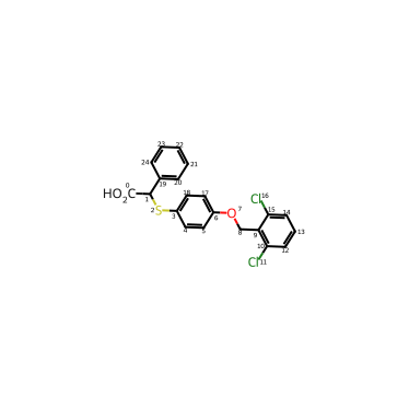 O=C(O)C(Sc1ccc(OCc2c(Cl)cccc2Cl)cc1)c1ccccc1